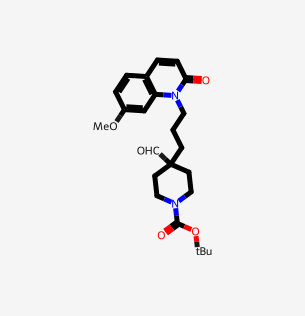 COc1ccc2ccc(=O)n(CCCC3(C=O)CCN(C(=O)OC(C)(C)C)CC3)c2c1